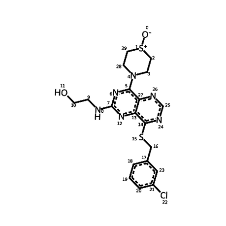 [O-][S+]1CCN(c2nc(NCCO)nc3c(SCc4cccc(Cl)c4)ncnc23)CC1